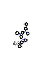 CC1(C)c2ccccc2-c2cc3c4ccccc4n(-c4ccc5c(c4)c4cc(N(c6ccccc6)c6ccc(-c7ccccc7)cc6)ccc4n5-c4ccccc4)c3cc21